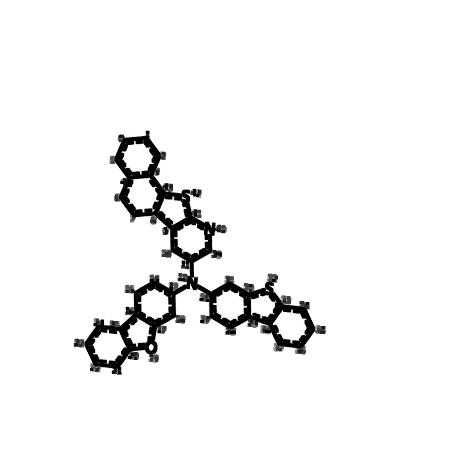 c1ccc2c(c1)ccc1c3cc(N(c4ccc5c(c4)oc4ccccc45)c4ccc5c(c4)sc4ccccc45)cnc3sc21